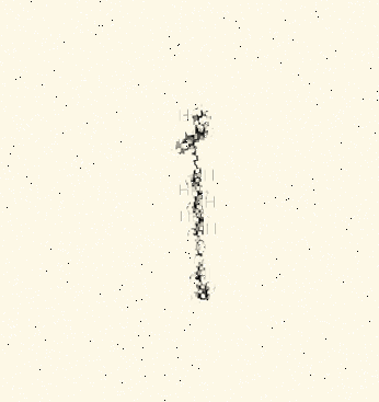 CCC1(O)C(=O)OCc2c1cc1n(c2=O)Cc2c-1nc1cc(F)c(C)cc1c2CSCCSCNC(=O)CNC(=O)CNC(=O)CNC(=O)CNC(=O)CCOCCOCCNC(=O)CCN1C(=O)C=CC1=O